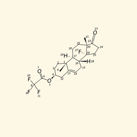 C[C@]12CC[C@H](OC(=O)C(F)(F)F)CC1=CC[C@@H]1[C@@H]2CC[C@]2(C)C(=O)CC[C@@]12F